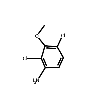 COc1c(Cl)ccc(N)c1Cl